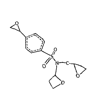 O=S(=O)(c1ccc(C2CO2)cc1)N(CC1CO1)C1CCO1